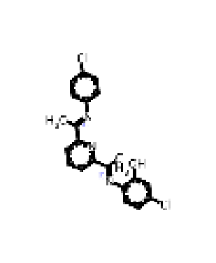 C/C(=N\c1ccc(Cl)cc1)c1cccc(/C(C)=N/c2ccc(Cl)cc2O)n1